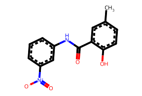 Cc1ccc(O)c(C(=O)Nc2cccc([N+](=O)[O-])c2)c1